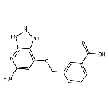 Nc1cc(OCc2cccc(C(=O)O)c2)c2c(n1)NNN2